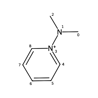 CN(C)[n+]1ccccc1